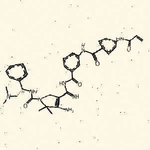 C=CC(=O)Nc1ccc(C(=O)Nc2cccc(C(=O)NC(=N)C3=C(N)C(C)(C)N(C(=O)N[C@H](CN(C)C)c4ccccc4)C3)c2)cc1